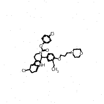 CCc1cc(C2c3[nH]c4c(c3CCN2C(=O)Oc2ccc(Cl)cc2)=CC(Cl)CC=4)ccc1OCCCN1CCOCC1